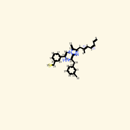 C=C/C=C\C=C(/C)Cc1nc2n(c1=C)C=C(c1cccc(C=S)c1)NC=2Cc1cccc(C)c1